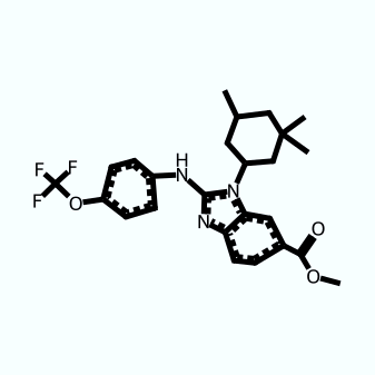 COC(=O)c1ccc2nc(Nc3ccc(OC(F)(F)F)cc3)n(C3CC(C)CC(C)(C)C3)c2c1